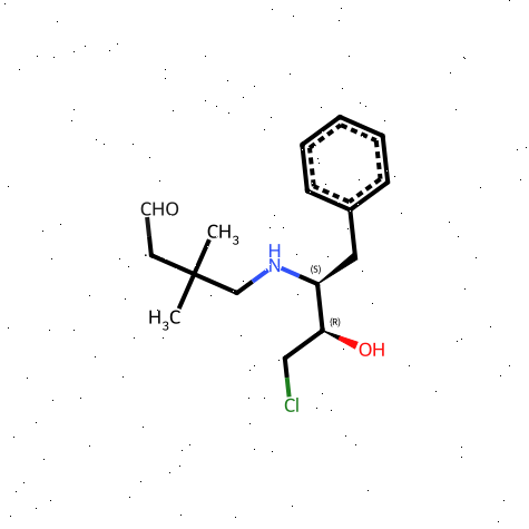 CC(C)([CH]C=O)CN[C@@H](Cc1ccccc1)[C@@H](O)CCl